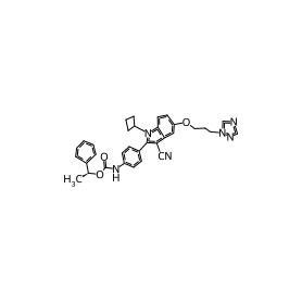 C[C@H](OC(=O)Nc1ccc(-c2c(C#N)c3cc(OCCCn4cncn4)ccc3n2C2CCC2)cc1)c1ccccc1